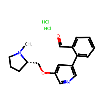 CN1CCC[C@H]1COc1cncc(-c2ccccc2C=O)c1.Cl.Cl